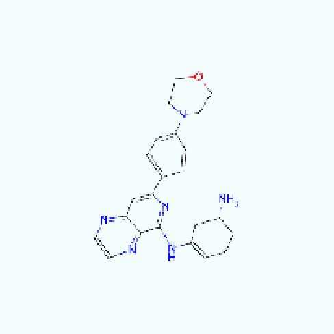 N[C@@H]1CCC=C(Nc2nc(-c3ccc(N4CCOCC4)cc3)cc3nccnc23)C1